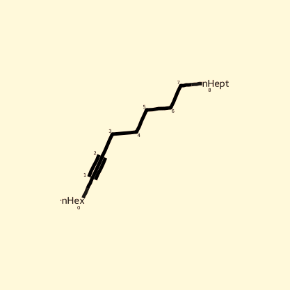 CCCCC[CH]C#CCCCCCCCCCCCC